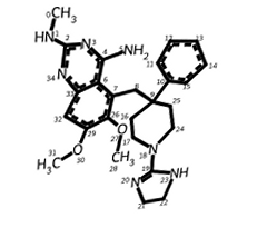 CNc1nc(N)c2c(CC3(c4ccccc4)CCN(C4=NCCN4)CC3)c(OC)c(OC)cc2n1